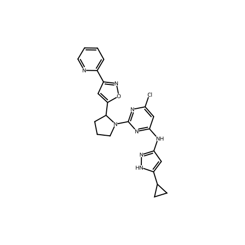 Clc1cc(Nc2cc(C3CC3)[nH]n2)nc(N2CCCC2c2cc(-c3ccccn3)no2)n1